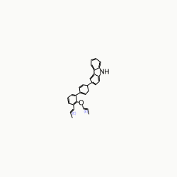 C/C=C/Oc1c(/C=C/C)cccc1C1=CCC(c2ccc3[nH]c4ccccc4c3c2)C=C1